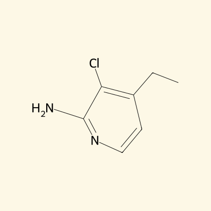 CCc1ccnc(N)c1Cl